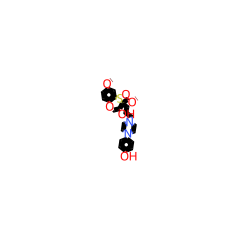 COC(=O)C1(CCCN2CCN(c3ccc(O)cc3)CC2)Sc2cc(OC)ccc2OCC1O